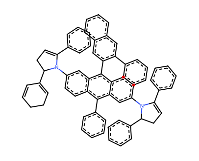 C1=CC(C2CC=C(c3ccccc3)N2c2ccc3c(-c4ccccc4)c4cc(N5C(c6ccccc6)=CCC5c5ccccc5)ccc4c(-c4cc5ccccc5cc4-c4ccccc4)c3c2)=CCC1